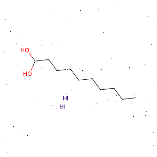 CCCCCCCCCC(O)O.I.I